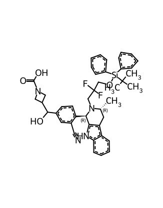 C[C@@H]1Cc2c([nH]c3ccccc23)[C@@H](c2ccc(C(O)C3CN(C(=O)O)C3)cc2C#N)N1CC(F)(F)CO[Si](c1ccccc1)(c1ccccc1)C(C)(C)C